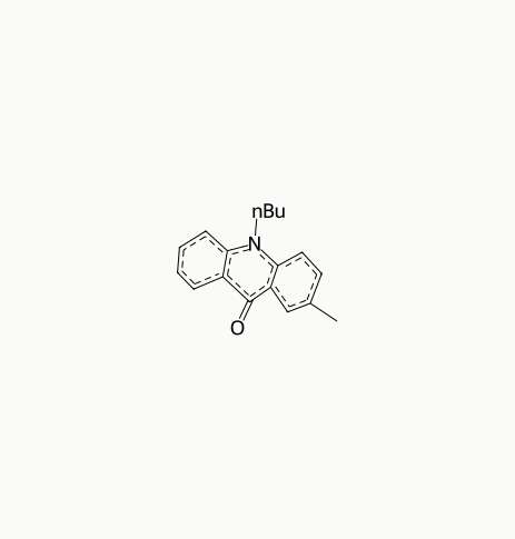 CCCCn1c2ccccc2c(=O)c2cc(C)ccc21